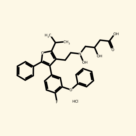 CC(C)c1oc(-c2ccccc2)c(-c2ccc(F)c(Oc3ccccc3)c2)c1CCN(O)CC(O)CC(=O)O.Cl